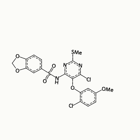 COc1ccc(Cl)c(Oc2c(Cl)nc(SC)nc2NS(=O)(=O)c2ccc3c(c2)OCO3)c1